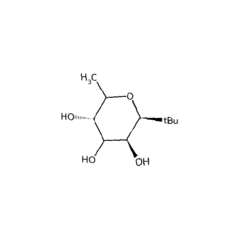 CC1O[C@@H](C(C)(C)C)[C@@H](O)C(O)[C@@H]1O